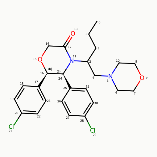 CCCC(CN1CCOCC1)N1C(=O)CO[C@H](c2ccc(Cl)cc2)[C@@H]1c1ccc(Cl)cc1